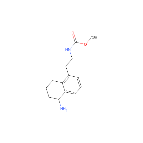 CC(C)(C)OC(=O)NCCc1cccc2c1CCCC2N